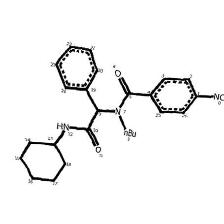 [C-]#[N+]c1ccc(C(=O)N(CCCC)C(C(=O)NC2CCCCC2)c2ccccc2)cc1